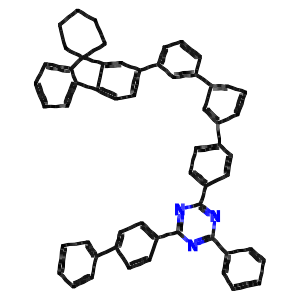 c1ccc(-c2ccc(-c3nc(-c4ccccc4)nc(-c4ccc(-c5cccc(-c6cccc(-c7ccc8c(c7)C7(CCCCC7)c7ccccc7-8)c6)c5)cc4)n3)cc2)cc1